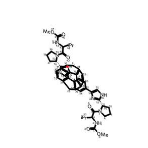 COC(=O)NC(C(=O)N1CCC[C@H]1c1nc(-c2ccc(-c3cc4ccc3CCc3ccc(c(-c5c[nH]c([C@@H]6CCCN6C(=O)C(NC(=O)OC)C(C)C)n5)c3)CC4)cc2)c[nH]1)C(C)C